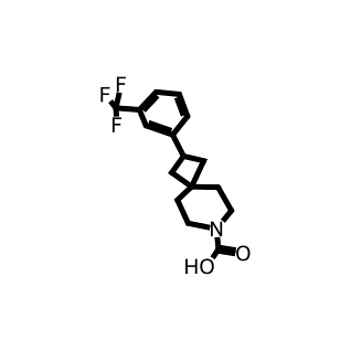 O=C(O)N1CCC2(CC1)CC(c1cccc(C(F)(F)F)c1)C2